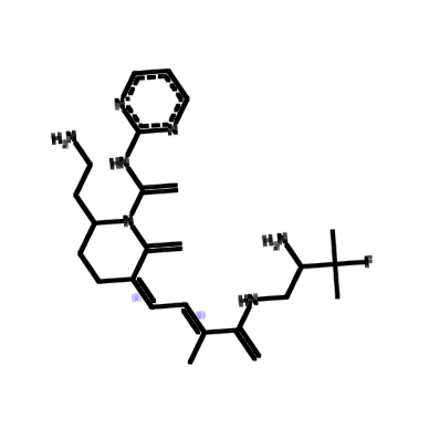 C=C(NCC(N)C(C)(C)F)/C(C)=C/C=C1/CCC(CCN)N(C(=C)Nc2ncccn2)C1=C